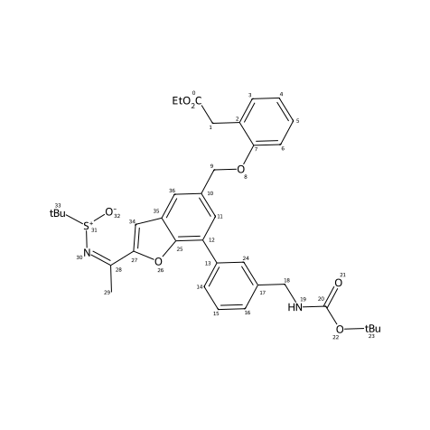 CCOC(=O)Cc1ccccc1OCc1cc(-c2cccc(CNC(=O)OC(C)(C)C)c2)c2oc(/C(C)=N\[S+]([O-])C(C)(C)C)cc2c1